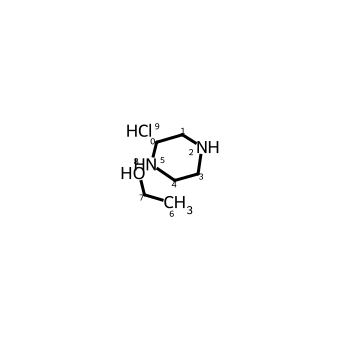 C1CNCCN1.CCO.Cl